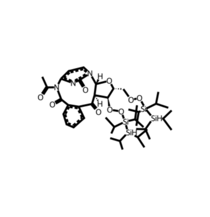 CC(=O)N1C(=O)c2ccccc2C(=O)[C@@H]2[C@H](OO[Si](C(C)C)(C(C)C)[SiH](C(C)C)C(C)C)[C@@H](COO[Si](C(C)C)(C(C)C)[SiH](C(C)C)C(C)C)O[C@H]2n2ccc1nc2=O